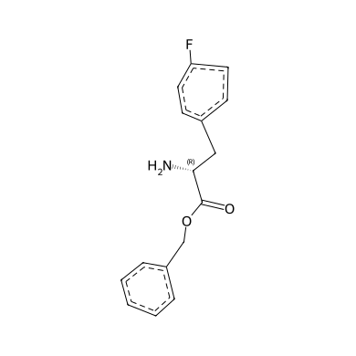 N[C@H](Cc1ccc(F)cc1)C(=O)OCc1ccccc1